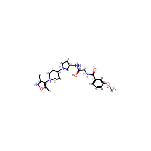 Cc1noc(C)c1N1CCC(N2CC[C@@H](NC(=O)CNC(=O)c3cccc(OC(F)(F)F)c3)C2)CC1